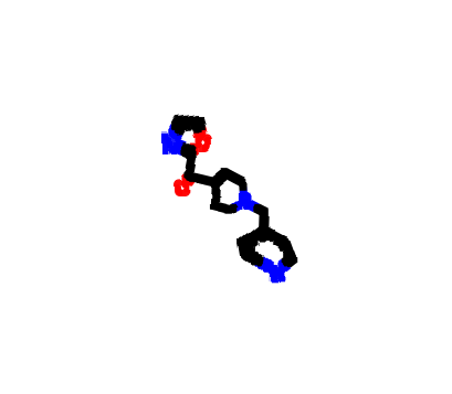 O=C(c1ncco1)C1CCN(Cc2ccncc2)CC1